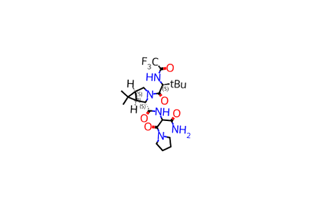 CC(C)(C)[C@H](NC(=O)C(F)(F)F)C(=O)N1C[C@H]2[C@@H]([C@H]1C(=O)NC(C(N)=O)C(=O)N1CCCC1)C2(C)C